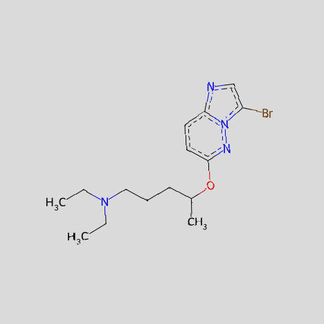 CCN(CC)CCCC(C)Oc1ccc2ncc(Br)n2n1